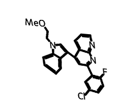 COCCn1cc(-c2cc(-c3cc(Cl)ccc3F)nc3ncccc23)c2ccccc21